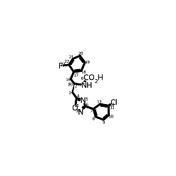 O=C(O)N[C@@H](Cc1nc(-c2cccc(Cl)c2)no1)Cc1ccccc1F